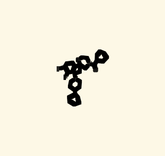 O=C(c1ccccc1)N1CCOC(CCN2CC[C](c3ccccc3)CC2)(c2ccc(F)c(F)c2)C1